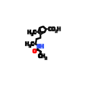 C=CC(=O)NC(C)CCC1C(C)C2CC(C(=O)O)C1C2